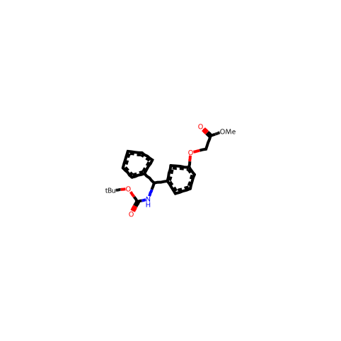 COC(=O)COc1cccc(C(NC(=O)OC(C)(C)C)c2ccccc2)c1